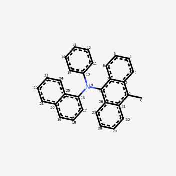 Cc1c2ccccc2c(N(c2ccccc2)c2cccc3ccccc23)c2ccccc12